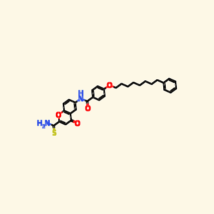 NC(=S)c1cc(=O)c2cc(NC(=O)c3ccc(OCCCCCCCCc4ccccc4)cc3)ccc2o1